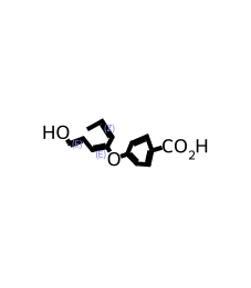 C\C=C/C(=C\C=C\O)Oc1ccc(C(=O)O)cc1